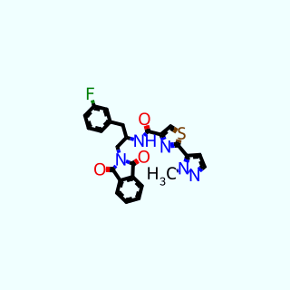 Cn1nccc1-c1nc(C(=O)NC(Cc2cccc(F)c2)CN2C(=O)c3ccccc3C2=O)cs1